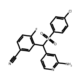 N#Cc1ccc(F)c(C(c2ccnc(N)c2)S(=O)(=O)c2ccc(Cl)cc2)c1